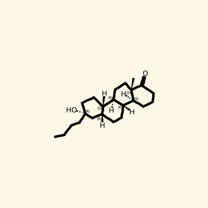 CCCC[C@@]1(O)CC[C@H]2[C@H](CC[C@@H]3[C@@H]2CC[C@]2(C)C(=O)CCC[C@@H]32)C1